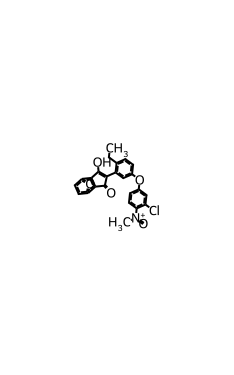 CCc1ccc(Oc2ccc([N+](C)=O)c(Cl)c2)cc1C1=C(O)c2c(c3ccc2o3)C1=O